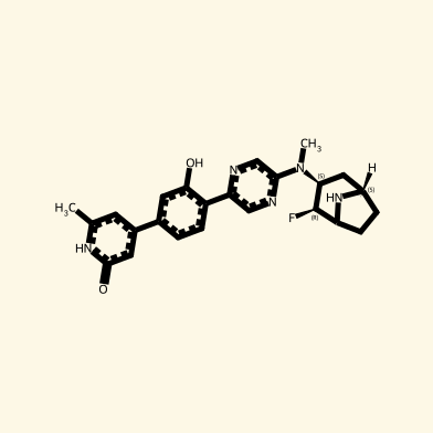 Cc1cc(-c2ccc(-c3cnc(N(C)[C@H]4C[C@@H]5CCC(N5)[C@H]4F)cn3)c(O)c2)cc(=O)[nH]1